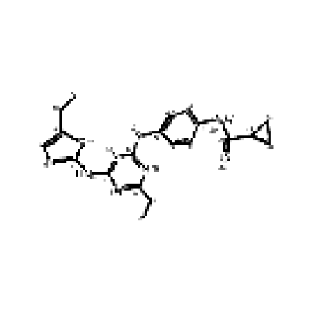 CCc1nc(Nc2ncc(CC)s2)nc(Sc2ccc(NC(=O)C3CC3)cc2)n1